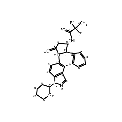 CC(F)(F)C(=O)N[C@H]1CC(=O)N(c2ccc3c(cnn3C3CCCCO3)c2)[C@@H]1c1ccccc1